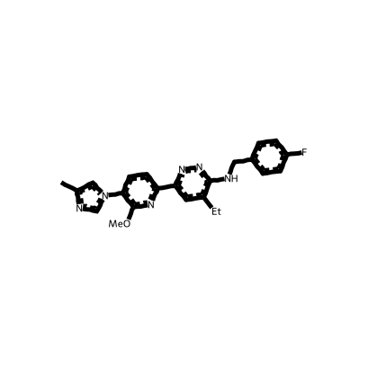 CCc1cc(-c2ccc(-n3cnc(C)c3)c(OC)n2)nnc1NCc1ccc(F)cc1